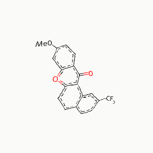 COc1ccc2c(=O)c3c(ccc4ccc(C(F)(F)F)cc43)oc2c1